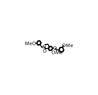 COc1cccc(COc2cc3c(cc2OC)C(=O)N(Cc2cccc(OC)c2)CC3)c1